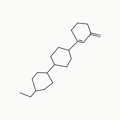 CCC1CCC(C2CCC(C3=CC(=O)CCC3)CC2)CC1